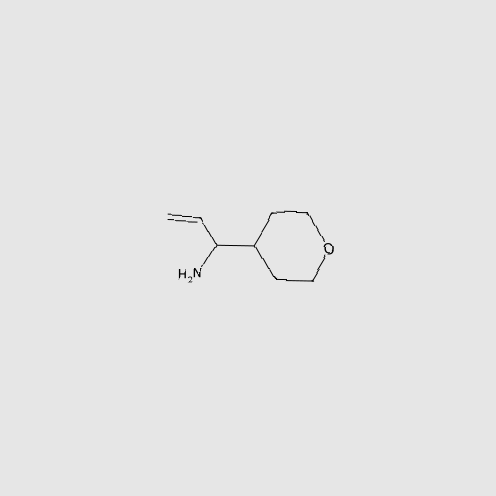 C=CC(N)C1CCOCC1